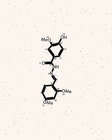 COc1ccc(/C=N/NC(=O)c2ccc(O)c(OC)c2)c(OC)c1